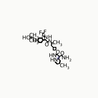 CC1=C/C(=C(/C(=N)OC2CC(C[C@H](C)NC(=O)c3nn(C(F)F)c4cc(OCC(C)(C)O)ccc34)C2)C(N)=O)NC=C1